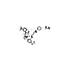 CC(C)N(C)[C@@H]1CC[C@H](N2CC[C@H](Nc3ncnc4ccc(C(F)(F)F)cc34)C2=O)[C@H](NC(=O)CCCC(=O)N[C@H]2CC[C@@H](CNC(=O)OC(C)(C)C)CC2)C1